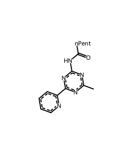 CCCCCC(=O)Nc1nc(C)nc(-c2ccccn2)n1